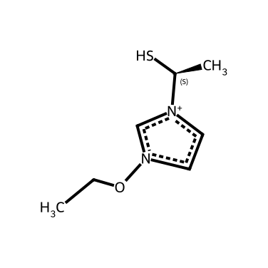 CCOn1cc[n+]([C@H](C)S)c1